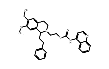 COc1cc2c(cc1OC)C(CCc1ccccc1)N(CCOC(=O)Nc1ccnc3ccccc13)CC2